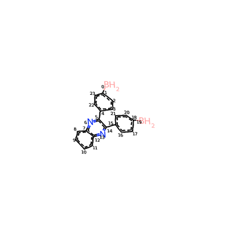 Bc1ccc(-c2nc3ccccc3nc2-c2ccc(B)cc2)cc1